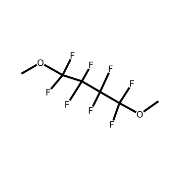 COC(F)(F)C(F)(F)C(F)(F)C(F)(F)OC